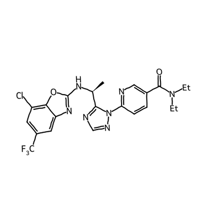 CCN(CC)C(=O)c1ccc(-n2ncnc2[C@H](C)Nc2nc3cc(C(F)(F)F)cc(Cl)c3o2)nc1